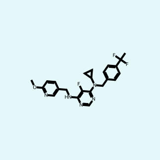 COc1ccc(CNc2ncnc(N(Cc3ccc(C(C)(F)F)cc3)C3CC3)c2F)cn1